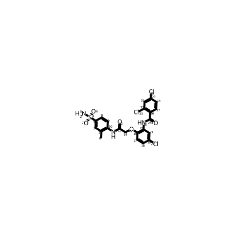 Cc1cc(S(N)(=O)=O)ccc1NC(=O)COc1ccc(Cl)cc1NC(=O)c1ccc(Cl)cc1Cl